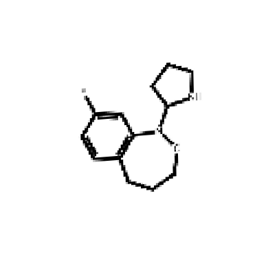 Fc1ccc2c(c1)N(C1CCCN1)OCCC2